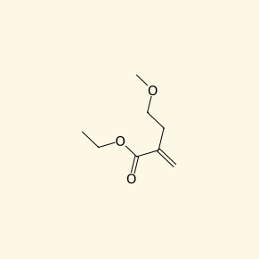 C=C(CCOC)C(=O)OCC